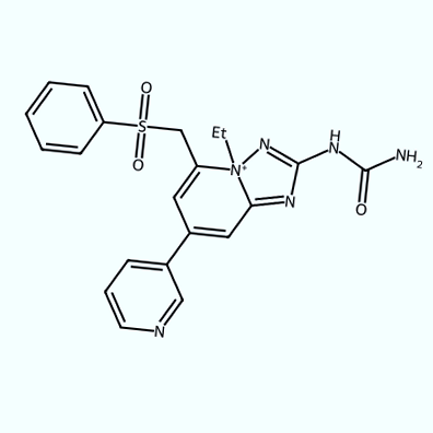 CC[N+]12N=C(NC(N)=O)N=C1C=C(c1cccnc1)C=C2CS(=O)(=O)c1ccccc1